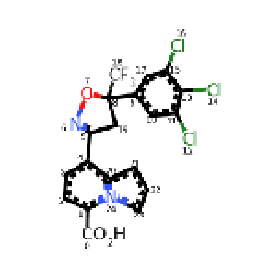 O=C(O)c1ccc(C2=NOC(c3cc(Cl)c(Cl)c(Cl)c3)(C(F)(F)F)C2)c2cccn12